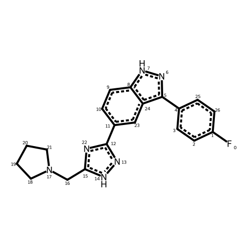 Fc1ccc(-c2n[nH]c3ccc(-c4n[nH]c(CN5CCCC5)n4)cc23)cc1